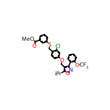 COC(=O)c1cccc(SCc2ccc(OCc3c(-c4ccccc4OC(F)(F)F)noc3C(C)C)cc2Cl)c1